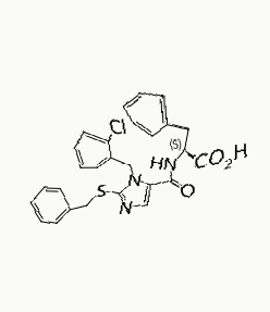 O=C(N[C@@H](Cc1ccccc1)C(=O)O)c1cnc(SCc2ccccc2)n1Cc1ccccc1Cl